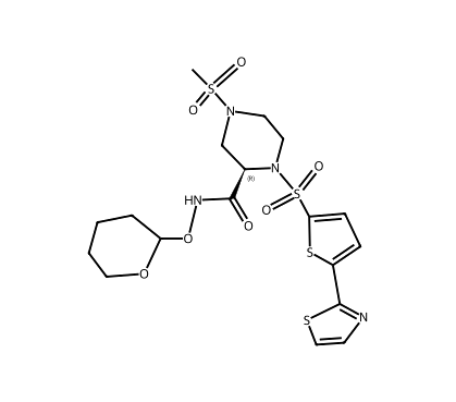 CS(=O)(=O)N1CCN(S(=O)(=O)c2ccc(-c3nccs3)s2)[C@@H](C(=O)NOC2CCCCO2)C1